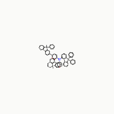 CC1(c2ccccc2)CC=Cc2cccc(-c3ccccc3N(c3ccc(-c4ccc5c(c4)C(C)(c4ccccc4)c4ccccc4-5)cc3)c3cccc4c3-c3ccccc3C4(c3ccccc3)c3ccccc3)c21